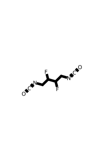 O=C=NCC(F)C(F)CN=C=O